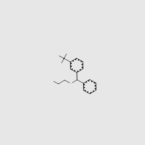 OCCNC(c1ccccc1)c1cccc(C(F)(F)F)c1